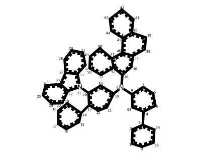 c1ccc(-c2cccc(N(c3ccc(-c4ccccc4)c(-n4c5ccccc5c5ccccc54)c3)c3cc4ccc5ccccc5c4c4ccccc34)c2)cc1